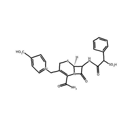 NC(=O)C1=C(C[n+]2ccc(C(=O)O)cc2)CS[C@H]2C(NC(=O)C(c3ccccc3)S(=O)(=O)O)C(=O)N12